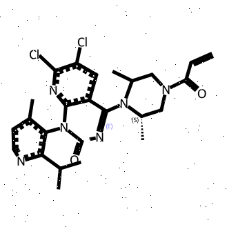 C=CC(=O)N1CC(C)N(/C(=N/C)c2cc(Cl)c(Cl)nc2N(C=O)c2c(C)ccnc2C(C)C)[C@@H](C)C1